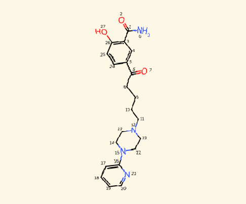 NC(=O)c1cc(C(=O)CCCCN2CCN(c3ccccn3)CC2)ccc1O